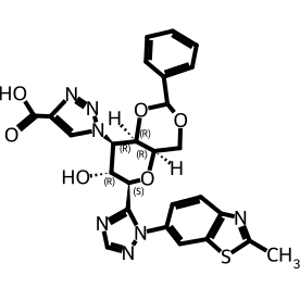 Cc1nc2ccc(-n3ncnc3[C@@H]3O[C@@H]4COC(c5ccccc5)O[C@@H]4[C@H](n4cc(C(=O)O)nn4)[C@H]3O)cc2s1